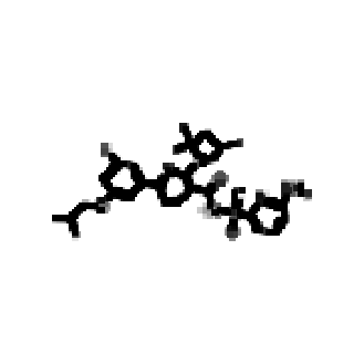 CC(C)COc1cc(F)cc(-c2ccc(C(=O)NS(=O)(=O)c3cccc(N)n3)c(N3C[C@H](C)CC3(C)C)n2)c1